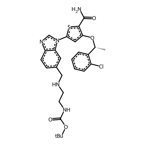 C[C@@H](Oc1cc(-n2cnc3ccc(CNCCNC(=O)OC(C)(C)C)cc32)sc1C(N)=O)c1ccccc1Cl